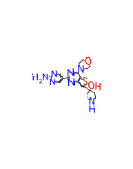 Nc1ncc(-c2nc(N3CCOCC3)c3sc(C4(O)CCNCC4)cc3n2)cn1